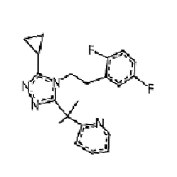 CC(C)(c1ccccn1)c1nnc(C2CC2)n1CCc1cc(F)ccc1F